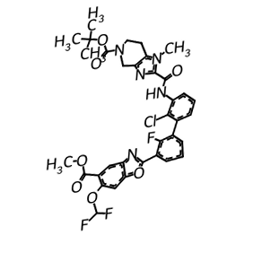 COC(=O)c1cc2nc(-c3cccc(-c4cccc(NC(=O)c5nc6c(n5C)CCN(C(=O)OC(C)(C)C)C6)c4Cl)c3F)oc2cc1OC(F)F